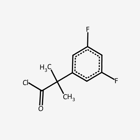 CC(C)(C(=O)Cl)c1cc(F)cc(F)c1